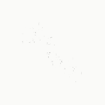 CCOc1nc(C(F)F)ccc1-c1ccc2cnc(CNC(=O)c3cc(F)c4c(c3)S(=O)(=O)[C@@H](F)CCO4)cc2n1